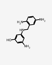 Nc1cc(O)cc(NCc2cc(N)ccc2N)c1